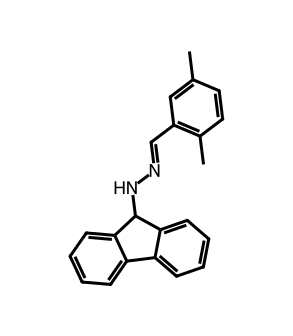 Cc1ccc(C)c(/C=N/NC2c3ccccc3-c3ccccc32)c1